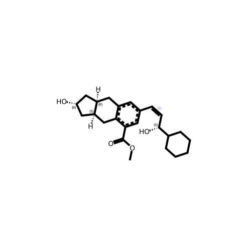 COC(=O)c1cc(/C=C\[C@@H](O)C2CCCCC2)cc2c1C[C@H]1C[C@H](O)C[C@H]1C2